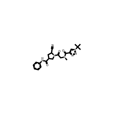 CN(CC(=O)N1CC(C(=O)Nc2ccccc2)CC1C#N)C(=O)c1cn(C(C)(C)C)nn1